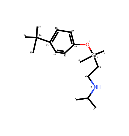 CC(C)NCC[Si](C)(C)Oc1ccc(C(C)(C)C)cc1